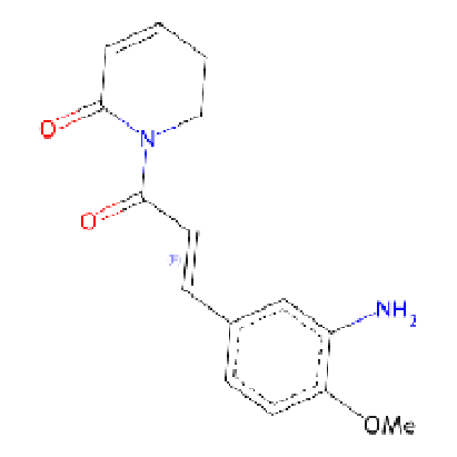 COc1ccc(/C=C/C(=O)N2CCC=CC2=O)cc1N